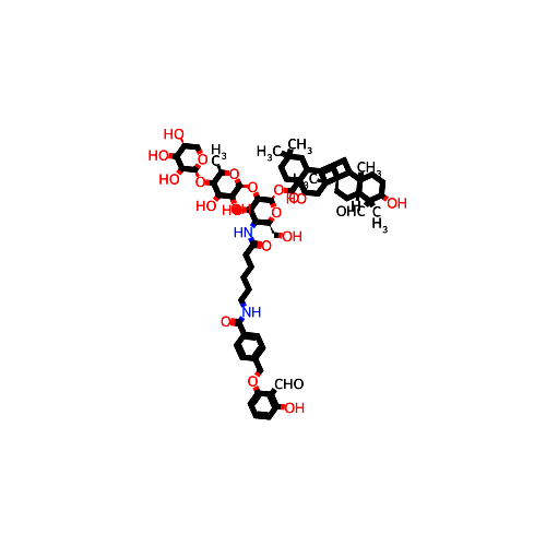 C[C@H]1O[C@@H](OC2C(O)C(NC(=O)CCCCCNC(=O)c3ccc(COc4cccc(O)c4C=O)cc3)[C@@H](CO)O[C@H]2OC(=O)C23CCC(C)(C)CC2C2=C4CC5C6(C)CCC(O)C(C)(C=O)[C@@H]6CC[C@@]45[C@]2(C)C[C@H]3O)C(O)C(O)C1O[C@@H]1OC[C@@H](O)C(O)C1O